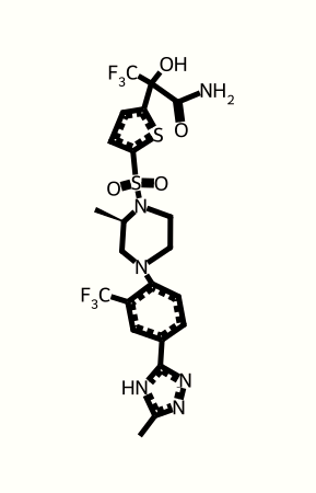 Cc1nnc(-c2ccc(N3CCN(S(=O)(=O)c4ccc(C(O)(C(N)=O)C(F)(F)F)s4)[C@H](C)C3)c(C(F)(F)F)c2)[nH]1